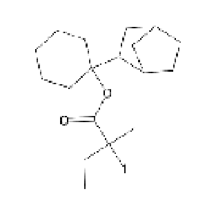 CCC(C)(I)C(=O)OC1(C2CC3CCC2C3)CCCCC1